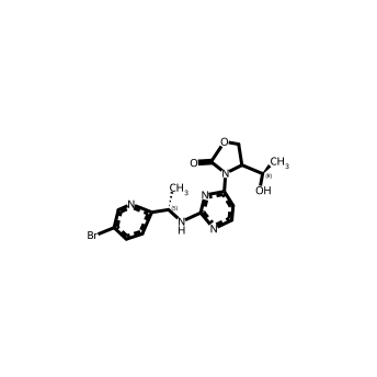 C[C@H](Nc1nccc(N2C(=O)OCC2[C@@H](C)O)n1)c1ccc(Br)cn1